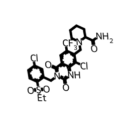 CCS(=O)(=O)c1ccc(Cl)cc1Cn1c(=O)[nH]c2c(Cl)c(CN3CCCCC3C(N)=O)c(C(F)(F)F)cc2c1=O